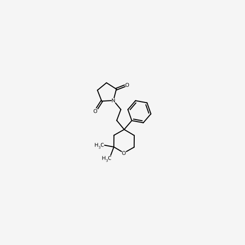 CC1(C)CC(CCN2C(=O)CCC2=O)(c2ccccc2)CCO1